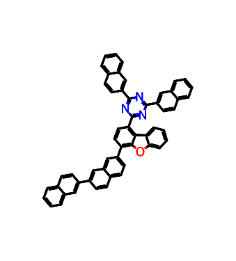 c1ccc2cc(-c3ccc4ccc(-c5ccc(-c6nc(-c7ccc8ccccc8c7)nc(-c7ccc8ccccc8c7)n6)c6c5oc5ccccc56)cc4c3)ccc2c1